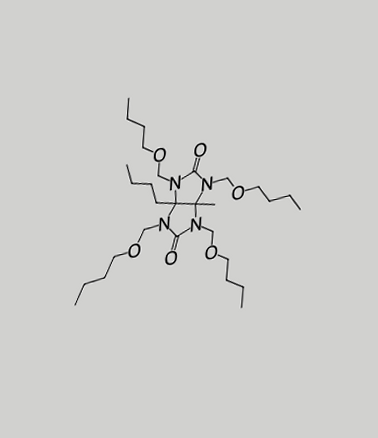 CCCCOCN1C(=O)N(COCCCC)C2(CCCC)N(COCCCC)C(=O)N(COCCCC)C12C